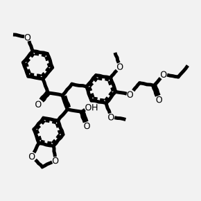 CCOC(=O)COc1c(OC)cc(C/C(C(=O)c2ccc(OC)cc2)=C(\C(=O)O)c2ccc3c(c2)OCO3)cc1OC